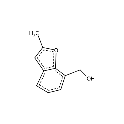 Cc1cc2cccc(CO)c2o1